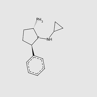 P[C@H]1CC[C@H](c2ccccc2)P1NC1CC1